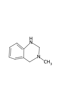 CN1CNc2ccccc2C1